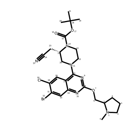 CN1CCCC1COc1nc(N2CCN(C(=O)OC(C)(C)C)[C@@H](CC#N)C2)c2cc(Cl)c(Br)cc2n1